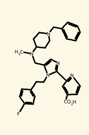 CN(Cc1cnc(-c2cc(C(=O)O)ccn2)n1CCc1ccc(F)cc1)C1CCN(Cc2ccccc2)CC1